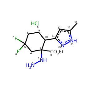 CCOC(=O)C1(NN)CC(F)(F)CCC1c1cc(C)[nH]n1.Cl